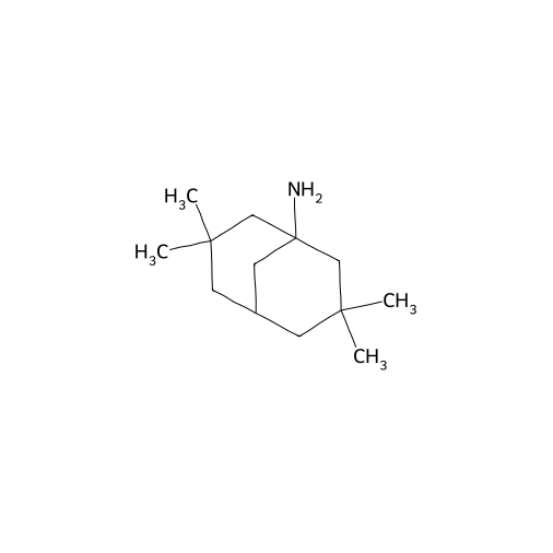 CC1(C)CC2CC(C)(C)CC(N)(C2)C1